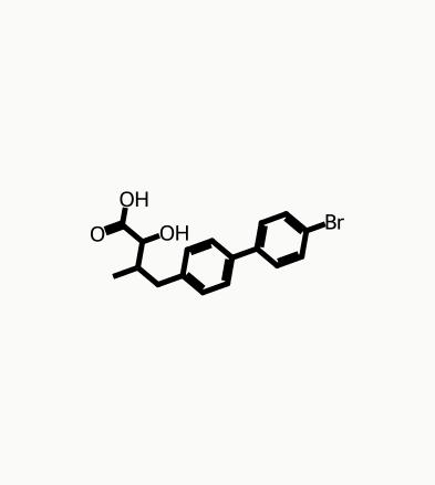 CC(Cc1ccc(-c2ccc(Br)cc2)cc1)C(O)C(=O)O